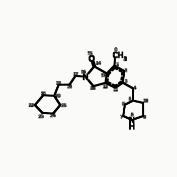 Cc1cc(CC2CCNCC2)cc2c1C(=O)N(CCCC1CCCCC1)C2